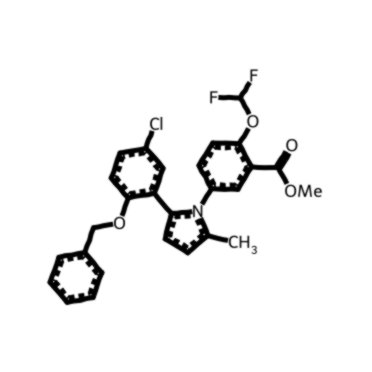 COC(=O)c1cc(-n2c(C)ccc2-c2cc(Cl)ccc2OCc2ccccc2)ccc1OC(F)F